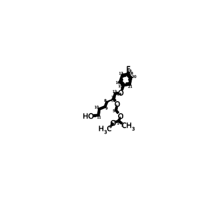 COC(C)OCO[C@@H](CCCCO)COc1ccc(F)cc1